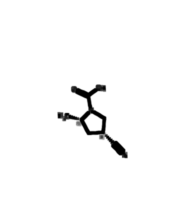 C[C@H]1C[C@@H](C#N)CN1C(=O)O